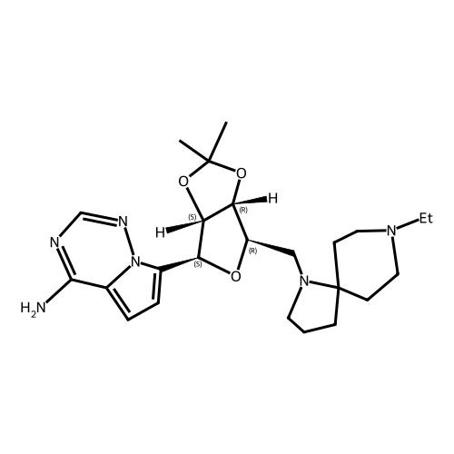 CCN1CCC2(CCCN2C[C@H]2O[C@@H](c3ccc4c(N)ncnn34)[C@@H]3OC(C)(C)O[C@@H]32)CC1